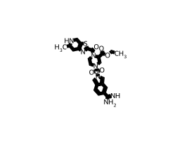 CCOC(=O)C1CN(S(=O)(=O)n2cc3ccc(C(=N)N)cc3c2)CCN1C(=O)c1nc2c(s1)CNC(C)C2